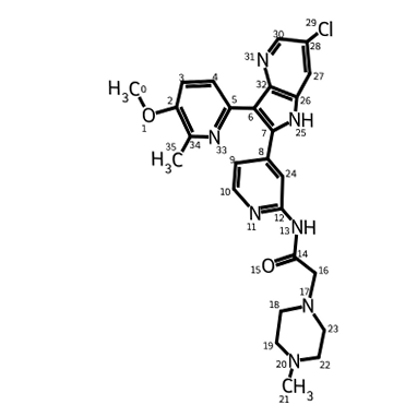 COc1ccc(-c2c(-c3ccnc(NC(=O)CN4CCN(C)CC4)c3)[nH]c3cc(Cl)cnc23)nc1C